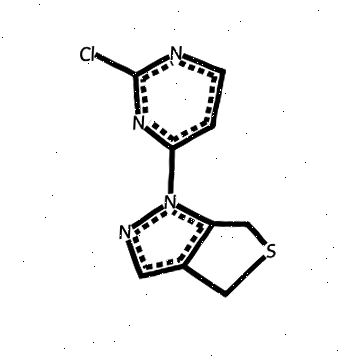 Clc1nccc(-n2ncc3c2CSC3)n1